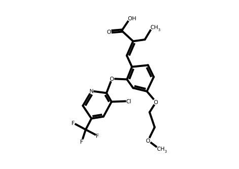 CC/C(=C\c1ccc(OCCOC)cc1Oc1ncc(C(F)(F)F)cc1Cl)C(=O)O